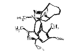 COc1cccc(C(=O)N2C3CCCC2c2nn(C)c(-c4cc(C(F)(F)F)nn4C)c2C3)c1C